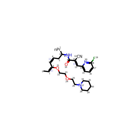 C/C=C(\C=C/CC(CCC)NC(=O)/C(C#N)=C/c1cccc(F)n1)OCCOCCN1CCCCC1